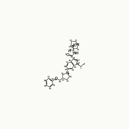 CCn1nc(C(=O)N[C@@H]2CN3CCC2CC3)c2ccc(N3CCC(COc4ccccc4)C3)cc21